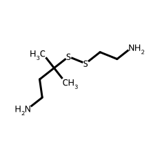 CC(C)(CCN)SSCCN